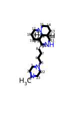 CN1CCN(CCCC[C@H]2NC[C@@H]3CCCN4CCC[C@H]2[C@H]34)CC1